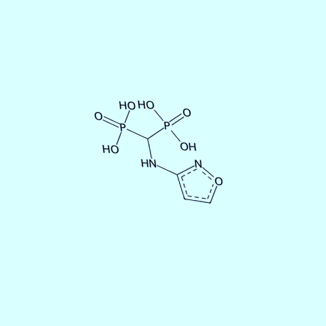 O=P(O)(O)C(Nc1ccon1)P(=O)(O)O